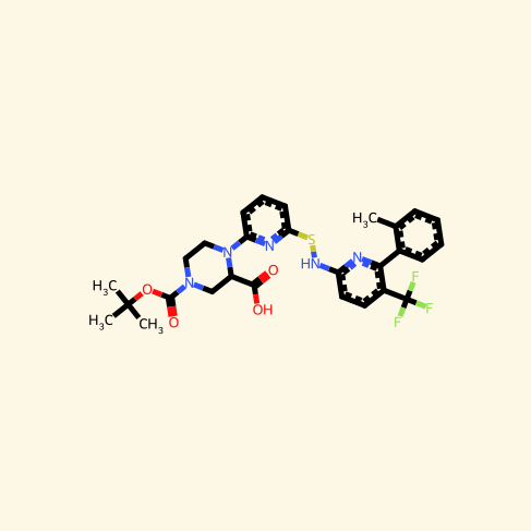 Cc1ccccc1-c1nc(NSc2cccc(N3CCN(C(=O)OC(C)(C)C)CC3C(=O)O)n2)ccc1C(F)(F)F